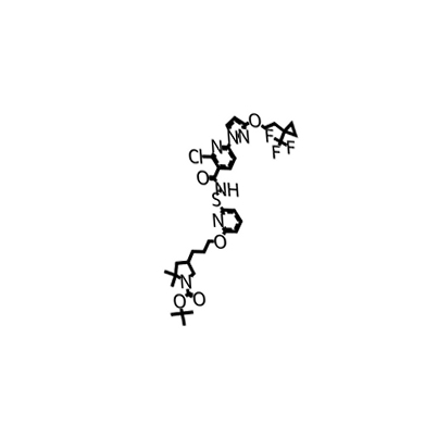 CC(C)(C)OC(=O)N1CC(CCCOc2cccc(SNC(=O)c3ccc(-n4ccc(OCCC5(C(F)(F)F)CC5)n4)nc3Cl)n2)CC1(C)C